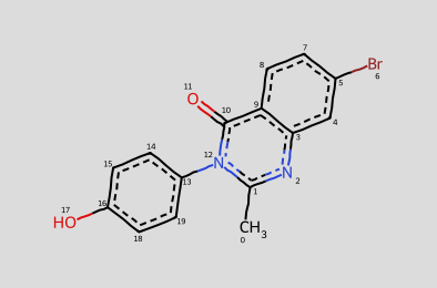 Cc1nc2cc(Br)ccc2c(=O)n1-c1ccc(O)cc1